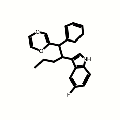 [CH2]CCC(c1c[nH]c2ccc(F)cc12)C(C1=CC=CCC1)C1=COC=CO1